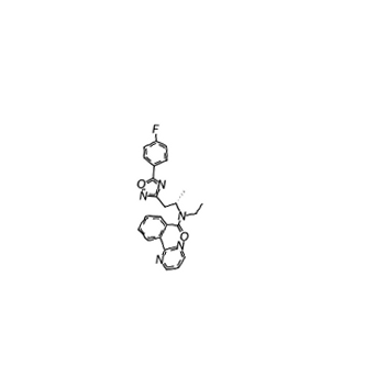 CCN(C(=O)c1ccccc1-c1ncccn1)[C@@H](C)Cc1noc(-c2ccc(F)cc2)n1